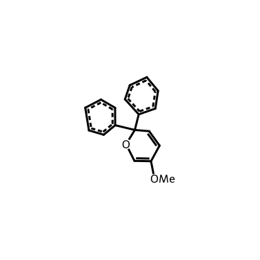 COC1=COC(c2ccccc2)(c2ccccc2)C=C1